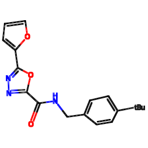 CC(C)(C)c1ccc(CNC(=O)c2nnc(-c3ccco3)o2)cc1